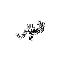 CC[C@H](C)[C@H](NC(=O)[C@H]1CN1C)C(=O)N(C)[C@H](C[C@@H](OC(C)=O)c1nc(C(=O)N(C)[C@@H](Cc2ccc(OP=O)cc2)C(=O)N[C@H](CCCCN)C(=O)NCC(=O)N2CCN(C(=O)CCCN3C(=O)C=CC3=O)CC2)cs1)C(C)C